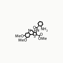 COC(=O)c1sc2c(cnc3cc(OC)c(OC)cc32)c1NC(=O)c1ccccc1N